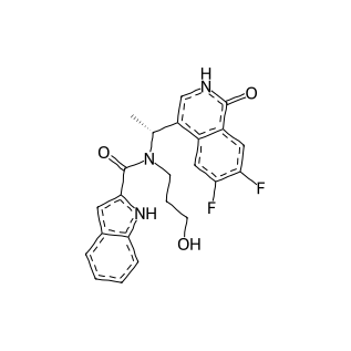 C[C@H](c1c[nH]c(=O)c2cc(F)c(F)cc12)N(CCCO)C(=O)c1cc2ccccc2[nH]1